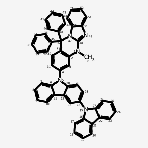 CN1c2cc(-n3c4ccccc4c4cc(-n5c6ccccc6c6ccccc65)ccc43)ccc2C(c2ccccc2)(c2ccccc2)n2c1nc1ccccc12